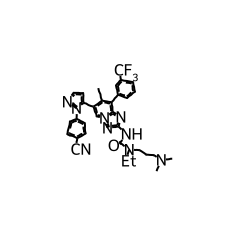 CCN(CCCN(C)C)C(=O)Nc1nc2c(-c3cccc(C(F)(F)F)c3)c(C)c(-c3ccnn3-c3ccc(C#N)cc3)cn2n1